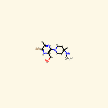 Cc1nc(N2CCC(C)(NC(=O)O)CC2)c(CO)nc1Br